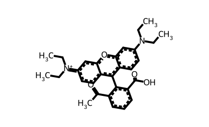 CCN(CC)c1ccc2c(-c3c(C(C)=O)cccc3C(=O)O)c3ccc(=[N+](CC)CC)cc-3oc2c1